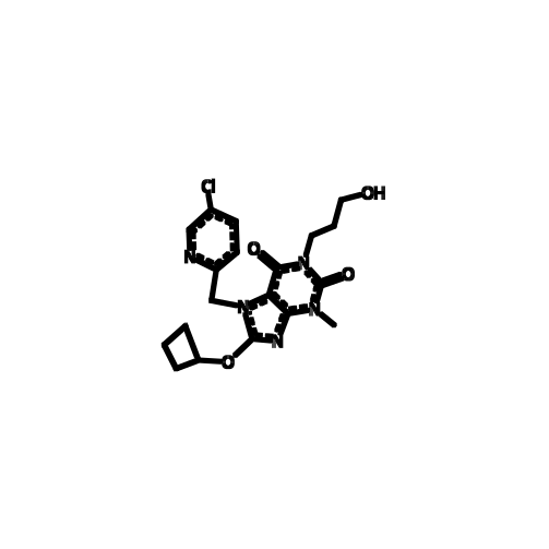 Cn1c(=O)n(CCCO)c(=O)c2c1nc(OC1CCC1)n2Cc1ccc(Cl)cn1